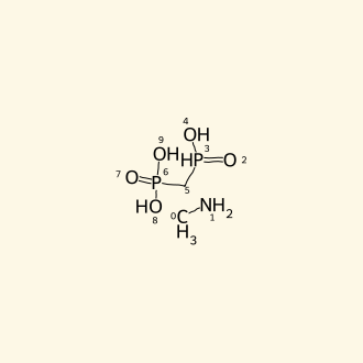 CN.O=[PH](O)CP(=O)(O)O